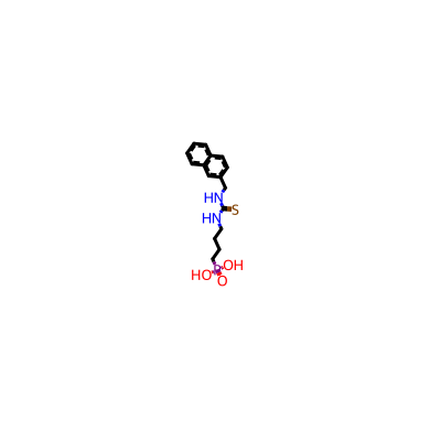 O=P(O)(O)CCCCNC(=S)NCc1ccc2ccccc2c1